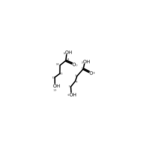 O=C(O)CCCO.O=C(O)CCCO